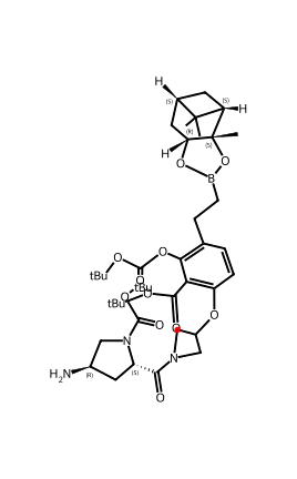 CC(C)(C)OC(=O)Oc1c(CCB2O[C@@H]3C[C@@H]4C[C@@H](C4(C)C)[C@]3(C)O2)ccc(OC2CN(C(=O)[C@@H]3C[C@@H](N)CN3C(=O)OC(C)(C)C)C2)c1C(=O)OC(C)(C)C